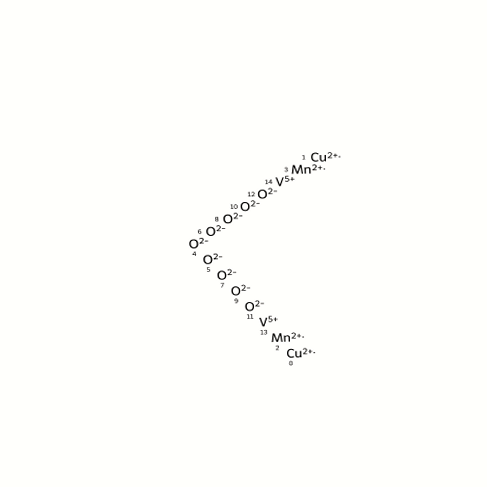 [Cu+2].[Cu+2].[Mn+2].[Mn+2].[O-2].[O-2].[O-2].[O-2].[O-2].[O-2].[O-2].[O-2].[O-2].[V+5].[V+5]